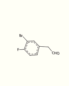 O=CCc1ccc(F)c(Br)c1